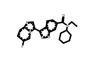 CCN(C(=O)c1ccc2c(-c3cnc4ccc(F)cn34)noc2c1)C1CCCCC1